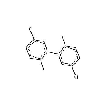 Cc1ccc(Cl)cc1-c1cc(Cl)ccc1C